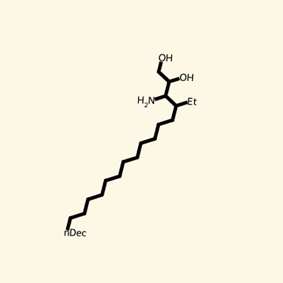 CCCCCCCCCCCCCCCCCCCCCCC(CC)C(N)C(O)CO